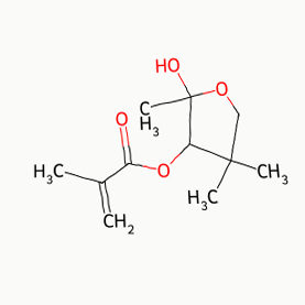 C=C(C)C(=O)OC1C(C)(C)COC1(C)O